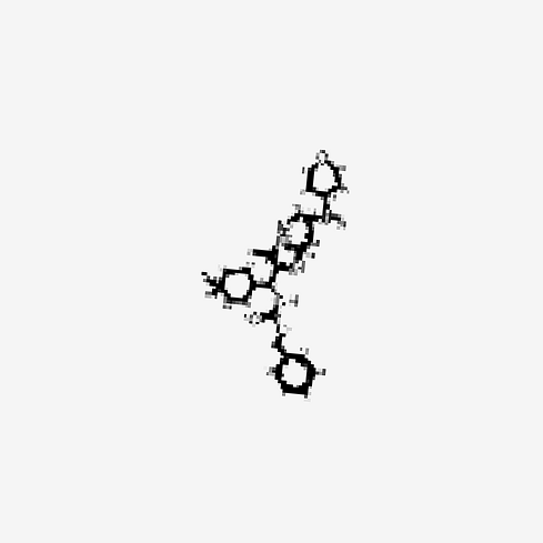 Cc1c([C@@H](NC(=O)OCc2ccccc2)C2CCC(F)(F)CC2)nc2cc(N(C)C3CCOCC3)cnn12